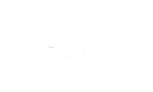 CCOc1ccc(-c2cc3c(n2-c2ccc(O)cc2)CCC(OC)C3)cc1